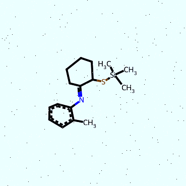 Cc1ccccc1/N=C1\CCCCC1S[Si](C)(C)C